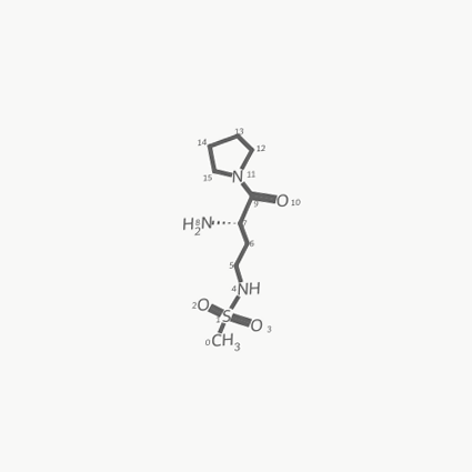 CS(=O)(=O)NCC[C@H](N)C(=O)N1CCCC1